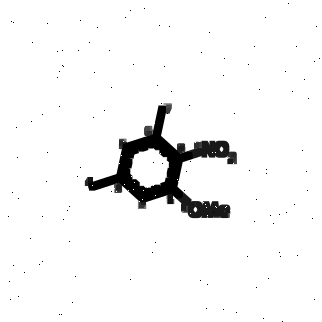 COc1cc(C)cc(C)c1[N+](=O)[O-]